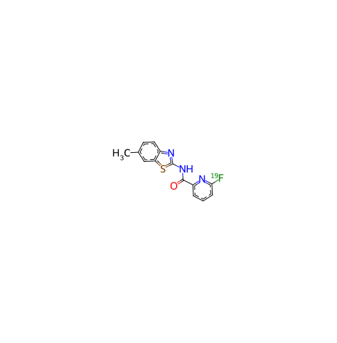 Cc1ccc2nc(NC(=O)c3cccc([19F])n3)sc2c1